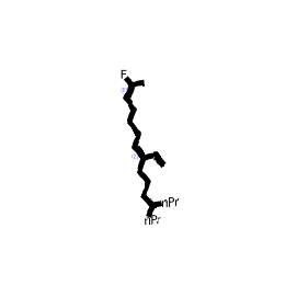 C=C/C(=C\CCC/C=C(\C)F)CCCC(CCC)CCC